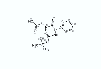 CC(C)(C)OC(=O)NC(C(=O)NCC(=O)O)c1ccccc1